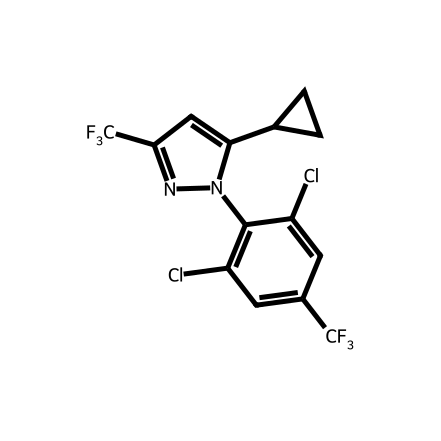 FC(F)(F)c1cc(Cl)c(-n2nc(C(F)(F)F)cc2C2CC2)c(Cl)c1